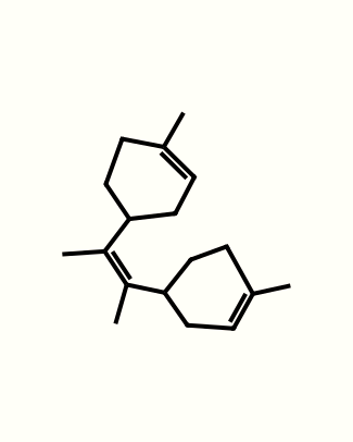 CC1=CCC(C(C)=C(C)C2CC=C(C)CC2)CC1